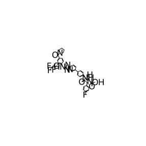 O=C(O)N[C@@H](C(=O)Nc1ccc(-c2ccc3nc(Nc4ccc(C(=O)N5CCCC5)cc4OCC(F)(F)F)nn3c2)cc1)c1ccc(F)cc1